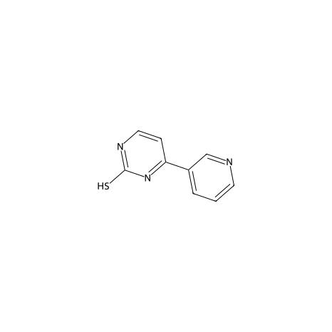 Sc1nccc(-c2cccnc2)n1